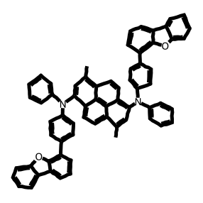 Cc1cc(N(c2ccccc2)c2ccc(-c3cccc4c3oc3ccccc34)cc2)c2ccc3c(C)cc(N(c4ccccc4)c4ccc(-c5cccc6c5oc5ccccc56)cc4)c4ccc1c2c34